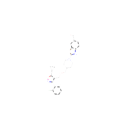 OC(O)c1ccc2nc(N3CCC(COCc4c(-c5c(Cl)cccc5Cl)noc4C4CC4)CC3)sc2c1